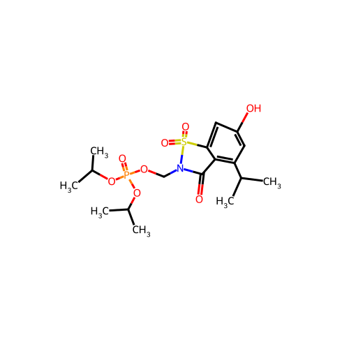 CC(C)OP(=O)(OCN1C(=O)c2c(C(C)C)cc(O)cc2S1(=O)=O)OC(C)C